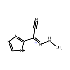 CN/N=C(\C#N)c1nnc[nH]1